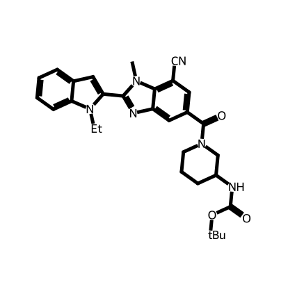 CCn1c(-c2nc3cc(C(=O)N4CCCC(NC(=O)OC(C)(C)C)C4)cc(C#N)c3n2C)cc2ccccc21